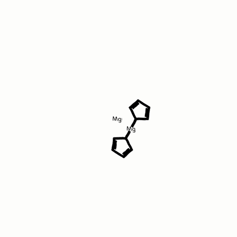 C1=C[CH]([Mg][CH]2C=CC=C2)C=C1.[Mg]